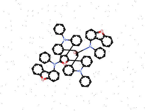 c1ccc(N2c3ccccc3C3(c4ccccc42)c2cc(N(c4ccccc4)c4cccc5oc6ccccc6c45)oc2C2(c4ccccc4N(c4ccccc4)c4ccccc42)c2cc(N(c4ccccc4)c4cccc5oc6ccccc6c45)oc23)cc1